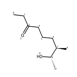 CCC(=O)CCC[C@@H](C)[C@H](C)O